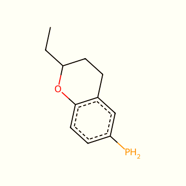 CCC1CCc2cc(P)ccc2O1